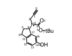 C#CCN(C(=O)OC(C)(C)C)C1CCc2ccc(O)cc21